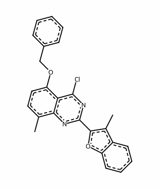 Cc1c(-c2nc(Cl)c3c(OCc4ccccc4)ccc(C)c3n2)oc2ccccc12